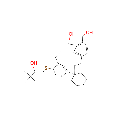 CCc1cc(C2(CCc3ccc(CO)c(CO)c3)CCCCC2)ccc1SCC(O)C(C)(C)C